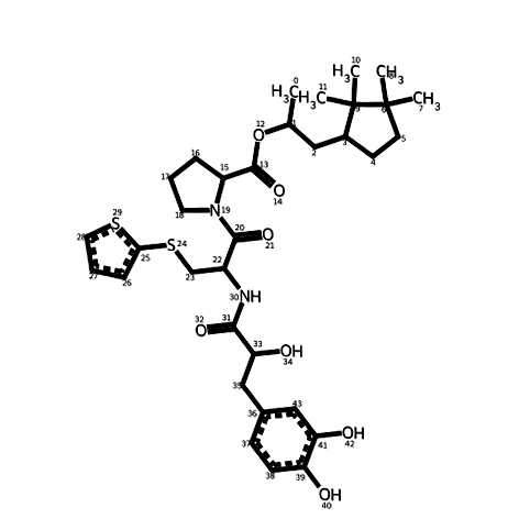 CC(CC1CCC(C)(C)C1(C)C)OC(=O)C1CCCN1C(=O)C(CSc1cccs1)NC(=O)C(O)Cc1ccc(O)c(O)c1